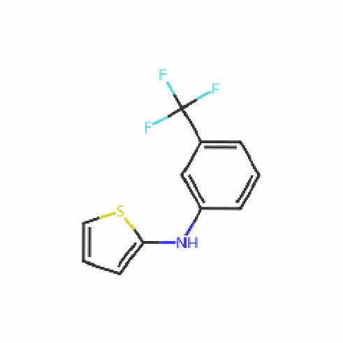 FC(F)(F)c1cccc(Nc2cccs2)c1